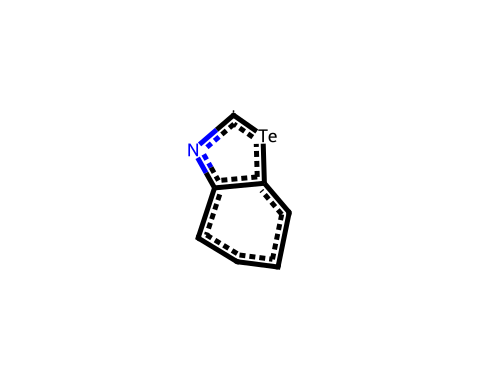 [c]1nc2ccccc2[te]1